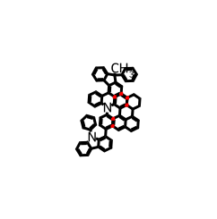 CC1(c2ccccc2)c2ccccc2-c2c(-c3ccccc3N(c3ccc(-c4cccc5c6ccccc6n(-c6ccccc6)c45)cc3)c3ccccc3-c3cccc4cccc(C5CCCCC5)c34)cccc21